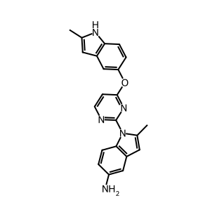 Cc1cc2cc(Oc3ccnc(-n4c(C)cc5cc(N)ccc54)n3)ccc2[nH]1